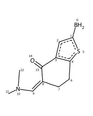 Bc1cc2c(s1)CC/C(=C/N(C)C)C2=O